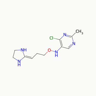 Cc1ncc(NOCCC=C2NCCN2)c(Cl)n1